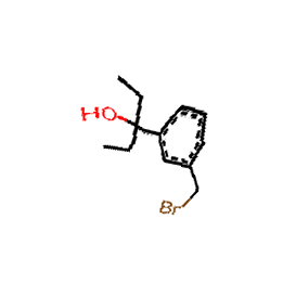 CCC(O)(CC)c1cccc(CBr)c1